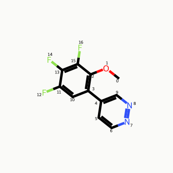 COc1c(-c2ccnnc2)cc(F)c(F)c1F